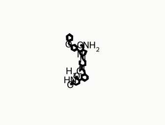 CN(Cc1cccc(C2CCC(=O)NC2=O)c1)C1CCN(c2ccc(C(N)=O)c(-c3ccc(Oc4ccccc4)cc3)n2)CC1